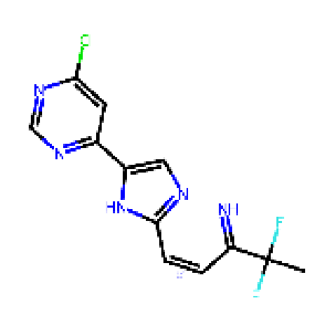 CC(F)(F)C(=N)/C=C\c1ncc(-c2cc(Cl)ncn2)[nH]1